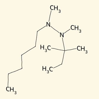 CCCCCCN(C)N(C)C(C)(C)CC